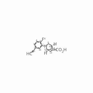 C#Cc1ccc(F)c(N2C[C@@H]3C[C@H]2CN3C(=O)O)c1